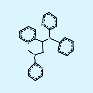 CN(CC(c1ccccn1)N(c1ccccn1)c1ccccn1)c1ccccn1